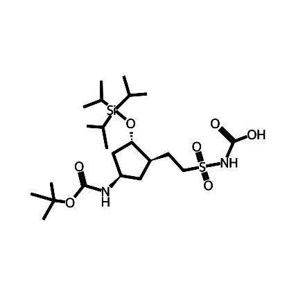 CC(C)[Si](O[C@H]1C[C@H](NC(=O)OC(C)(C)C)C[C@@H]1CCS(=O)(=O)NC(=O)O)(C(C)C)C(C)C